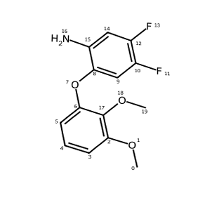 COc1cccc(Oc2cc(F)c(F)cc2N)c1OC